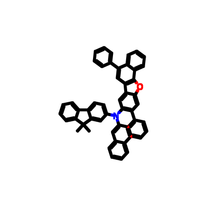 CC1(C)c2ccccc2-c2ccc(N(c3ccc4ccccc4c3)c3cc4c(cc3-c3ccccc3)oc3c5ccccc5c(-c5ccccc5)cc43)cc21